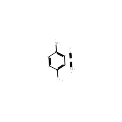 Cc1ccc(N)cc1.N=C=S